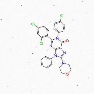 O=c1c2nc(N3CCOCC3)n(-c3ccccc3)c2nc(-c2ccc(Cl)cc2Cl)n1-c1ccc(Cl)cc1